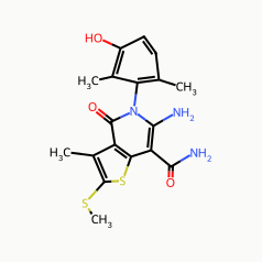 CSc1sc2c(C(N)=O)c(N)n(-c3c(C)ccc(O)c3C)c(=O)c2c1C